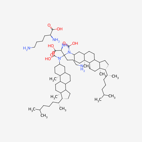 CC(C)CCC[C@@H](C)[C@H]1CCC2C3CCC4CC(N(C(=O)O)C(CCCN)([C@H](N)C(=O)O)N(C(=O)O)C5CC[C@@]6(C)C(CCC7C6CC[C@@]6(C)C7CC[C@@H]6[C@H](C)CCCC(C)C)C5)CC[C@]4(C)C3CC[C@@]21C.NCCCC[C@H](N)C(=O)O